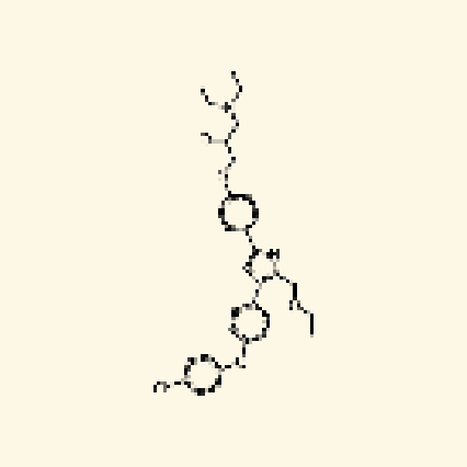 CCOCc1nc(-c2ccc(OC[C@@H](O)CN(CC)CC)cc2)cn1-c1ccc(Oc2ccc(Cl)cc2)cc1